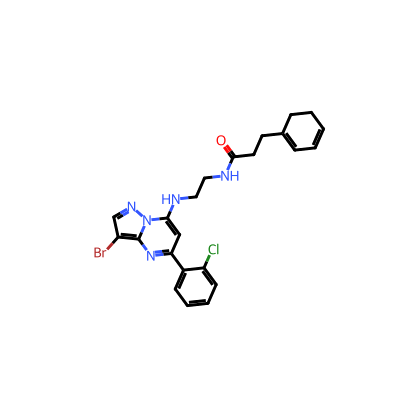 O=C(CCC1=CC=CCC1)NCCNc1cc(-c2ccccc2Cl)nc2c(Br)cnn12